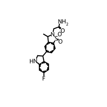 CC1c2cc(C3CNc4cc(F)ccc43)ccc2S(=O)(=O)N1CC(N)=O